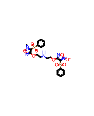 C[n+]1onc(OCCNCCOc2no[n+]([O-])c2S(=O)(=O)c2ccccc2)c1S(=O)(=O)c1ccccc1